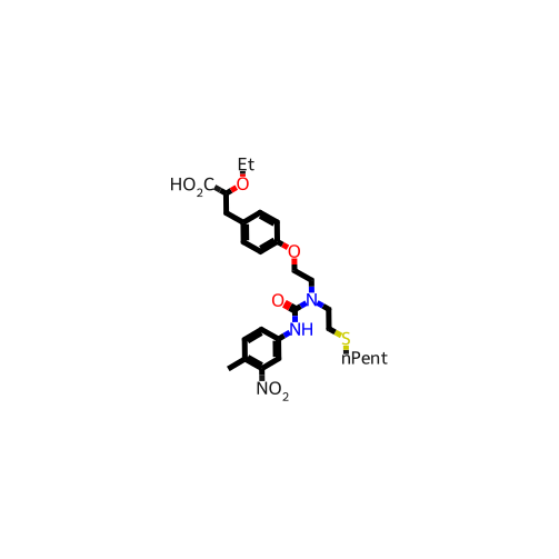 CCCCCSCCN(CCOc1ccc(CC(OCC)C(=O)O)cc1)C(=O)Nc1ccc(C)c([N+](=O)[O-])c1